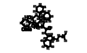 COc1ccccc1[C@@]1(O)[C@H](O)CC(c2ccccc2)(c2ccccc2)[C@@H]2CN(C(=O)Cc3cn(CCN(C)C)c4ccccc34)C[C@@H]21